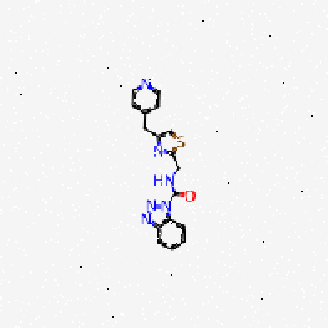 O=C(NCc1nc(Cc2ccncc2)cs1)n1nnc2ccccc21